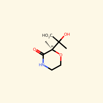 CC(O)(C(=O)O)[C@@]1(C)OCCNC1=O